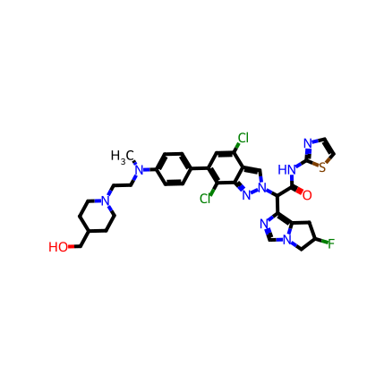 CN(CCN1CCC(CO)CC1)c1ccc(-c2cc(Cl)c3cn(C(C(=O)Nc4nccs4)c4ncn5c4CC(F)C5)nc3c2Cl)cc1